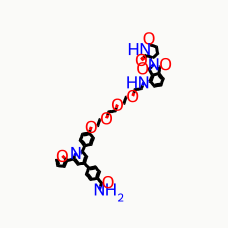 NC(=O)c1ccc(-c2cc(-c3ccc(OCCOCCOCCOCCNc4cccc5c4C(=O)N(C4CCC(=O)NC4=O)C5=O)cc3)nc(-c3ccco3)c2)cc1